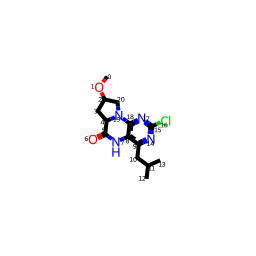 COC1CC2C(=O)Nc3c(CC(C)C)nc(Cl)nc3N2C1